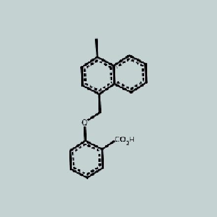 Cc1ccc(COc2ccccc2C(=O)O)c2ccccc12